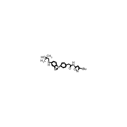 CC(C)(O)CNc1ccc2c(c1)ncn2-c1ccc(CC(=O)Nc2cc(C(C)(C)C)no2)cc1